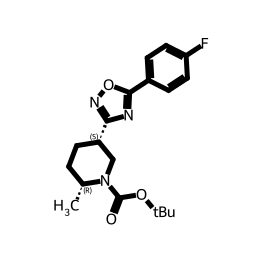 C[C@@H]1CC[C@H](c2noc(-c3ccc(F)cc3)n2)CN1C(=O)OC(C)(C)C